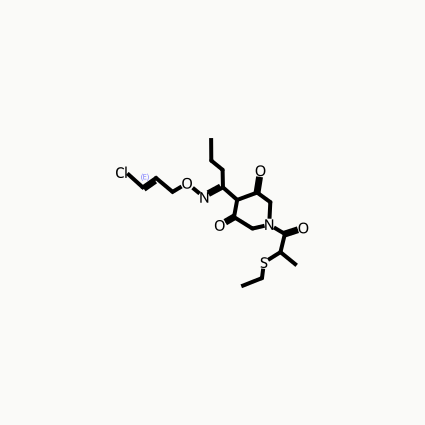 CCCC(=NOC/C=C/Cl)C1C(=O)CN(C(=O)C(C)SCC)CC1=O